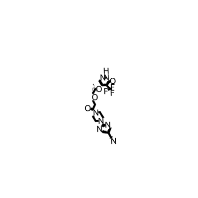 C[C@@H](COCCC(=O)N1CCN(c2ncc(C#N)cn2)CC1)Oc1cn[nH]c(=O)c1C(F)(F)F